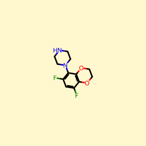 Fc1cc(F)c(N2CCNCC2)c2c1OCCO2